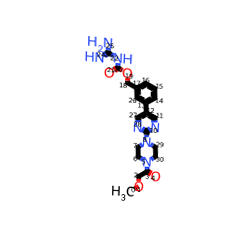 COCC(=O)N1CCN(c2ncc(-c3cccc(COC(=O)NC(=N)N)c3)cn2)CC1